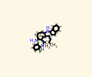 CC\C=C/C1=C(C)\C(=C(/C)Nc2c(F)cccc2F)C(N)CC/C=C\1NC1CCc2ccccc21